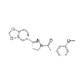 COc1cccc(CC(=O)N2CCC(c3ccc4c(c3)OCO4)=N2)c1